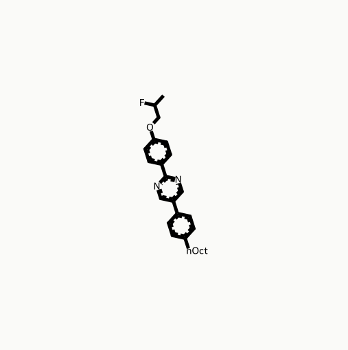 CCCCCCCCc1ccc(-c2cnc(-c3ccc(OCC(C)F)cc3)nc2)cc1